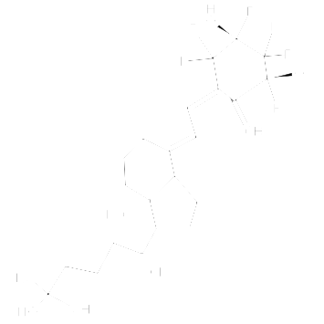 C=C1/C(=C\C=C2CCC[C@@]3(C)C2CC[C@@H]3[C@H](C)CCCC(C)(C)O)C(F)(F)[C@](O)(F)C(F)(F)[C@]1(O)F